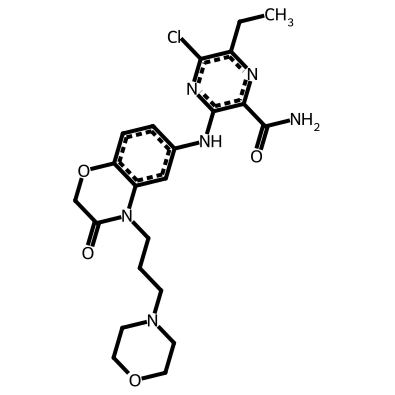 CCc1nc(C(N)=O)c(Nc2ccc3c(c2)N(CCCN2CCOCC2)C(=O)CO3)nc1Cl